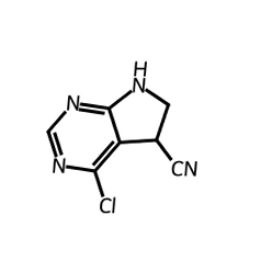 N#CC1CNc2ncnc(Cl)c21